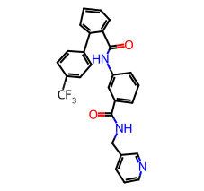 O=C(NCc1cccnc1)c1cccc(NC(=O)c2ccccc2-c2ccc(C(F)(F)F)cc2)c1